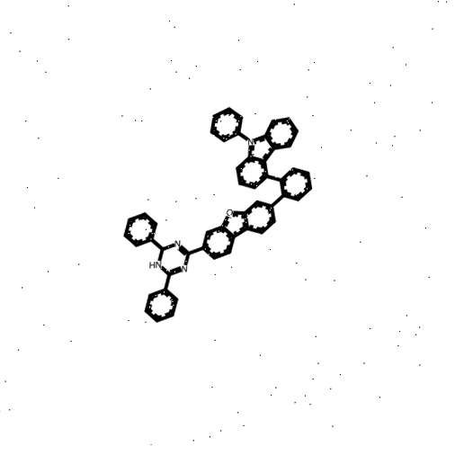 c1ccc(C2=NC(c3ccc4c(c3)oc3cc(-c5ccccc5-c5cccc6c5c5ccccc5n6-c5ccccc5)ccc34)=NC(c3ccccc3)N2)cc1